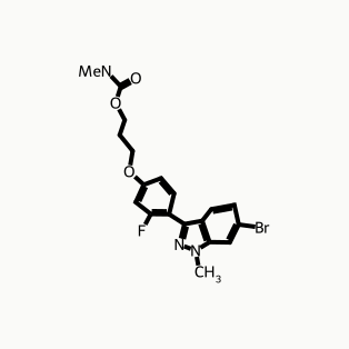 CNC(=O)OCCCOc1ccc(-c2nn(C)c3cc(Br)ccc23)c(F)c1